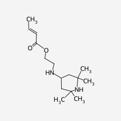 C/C=C/C(=O)OCCNC1CC(C)(C)NC(C)(C)C1